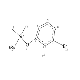 Cc1c(O[Si](C)(C)C(C)(C)C)ccnc1Br